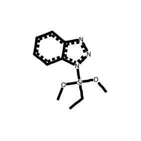 CC[Si](OC)(OC)n1nnc2ccccc21